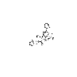 O=C(NCc1cccs1)c1nc2c(C(F)(F)F)cc(-c3ccccc3)nn2c1Cl